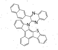 c1ccc2cc(-c3nc4ccccc4nc3-n3c4ccccc4c4c5ccccc5c5c6ccccc6sc5c43)ccc2c1